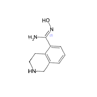 N/C(=N\O)c1cccc2c1CCNC2